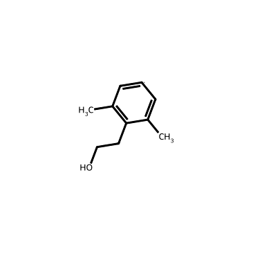 Cc1c[c]cc(C)c1CCO